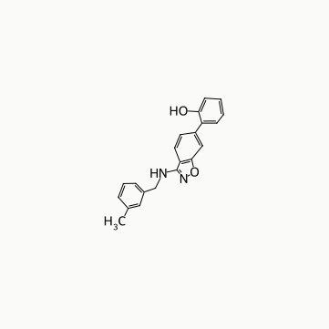 Cc1cccc(CNc2noc3cc(-c4ccccc4O)ccc23)c1